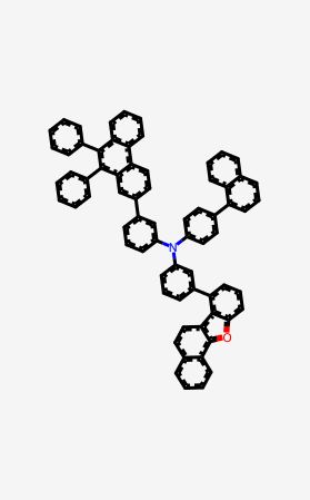 c1ccc(-c2c(-c3ccccc3)c3cc(-c4cccc(N(c5ccc(-c6cccc7ccccc67)cc5)c5cccc(-c6cccc7oc8c9ccccc9ccc8c67)c5)c4)ccc3c3ccccc23)cc1